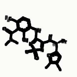 Cc1cc([C@H](NC2=NS(=O)(=O)N=C2Nc2ccc(C(F)(F)F)c(C(=O)N(C)C)c2O)C(C)C)oc1C